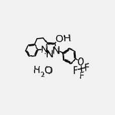 O.OC1=C2CCc3ccccc3N2[N]N1c1ccc(OC(F)(F)F)cc1